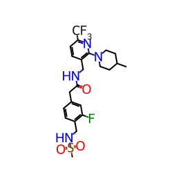 CC1CCN(c2nc(C(F)(F)F)ccc2CNC(=O)Cc2ccc(CNS(C)(=O)=O)c(F)c2)CC1